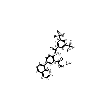 O=C(Nc1ccc(-c2cccc3cccnc23)cc1C(=O)O)c1cc(C(F)(F)F)cc(C(F)(F)F)c1.[LiH]